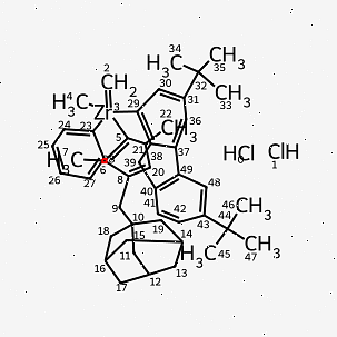 Cl.Cl.[CH2]=[Zr]([CH3])([C]1=C(C)C(CC23CC4CC(CC(C4)C2)C3)=CC1C)([c]1ccccc1)[c]1cc(C(C)(C)C)cc2c1Cc1ccc(C(C)(C)C)cc1-2